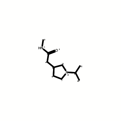 CNC(=O)CC1CCN(C(C)C)C1